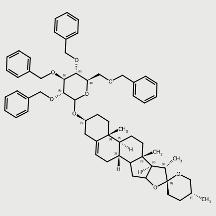 C[C@@H]1CC[C@@]2(OC1)OC1CC3[C@@H]4CC=C5C[C@@H](OC6O[C@H](COCc7ccccc7)[C@@H](OCc7ccccc7)[C@H](OCc7ccccc7)[C@H]6OCc6ccccc6)CC[C@]5(C)[C@H]4CC[C@]3(C)[C@H]1[C@@H]2C